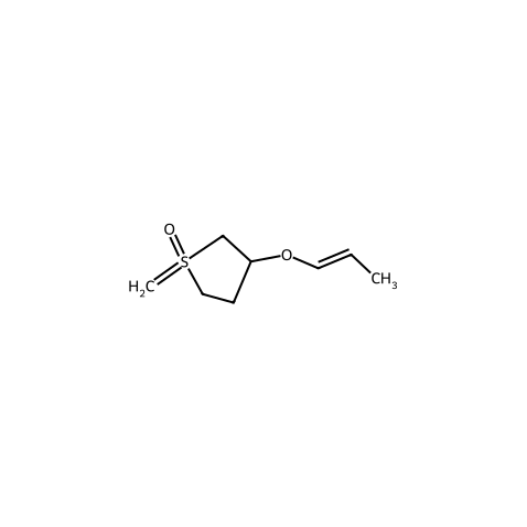 C=S1(=O)CCC(OC=CC)C1